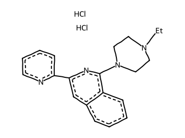 CCN1CCN(c2nc(-c3ccccn3)cc3ccccc23)CC1.Cl.Cl